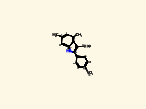 Cc1cc(C)c2c(C=O)c(-c3ccc([N+](=O)[O-])cc3)[nH]c2c1